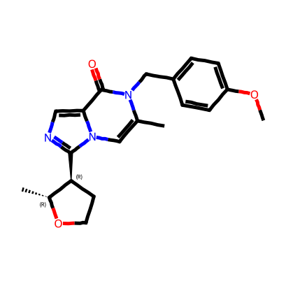 COc1ccc(Cn2c(C)cn3c([C@H]4CCO[C@@H]4C)ncc3c2=O)cc1